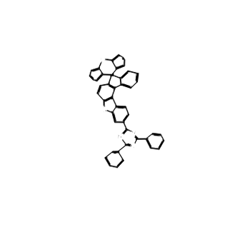 c1ccc(-c2nc(-c3ccccc3)nc(-c3ccc4c(c3)sc3ccc5c(c34)-c3ccccc3C53c4ccccc4Oc4ccccc43)n2)cc1